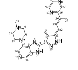 C=c1c(-c2nc3c(N4CCN(C)CC4)cncc3[nH]2)n[nH]/c1=C/C=C(\C)c1cnccn1